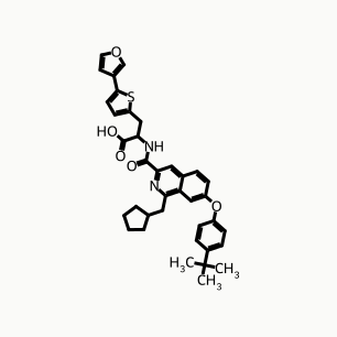 CC(C)(C)c1ccc(Oc2ccc3cc(C(=O)NC(Cc4ccc(-c5ccoc5)s4)C(=O)O)nc(CC4CCCC4)c3c2)cc1